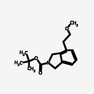 COCCc1cccc2c1CN(C(=O)OC(C)(C)C)C2